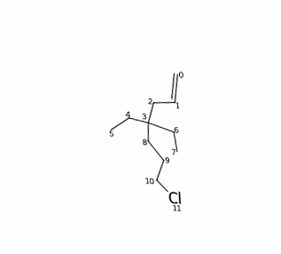 C=CCC(CC)(CC)CCCCl